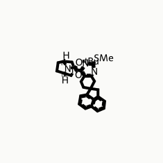 CSc1nc2c(c(N3C[C@H]4CC[C@@H](C3)N4C(=O)OC(C)(C)C)n1)CCC1(C2)Cc2cccc3cccc1c23